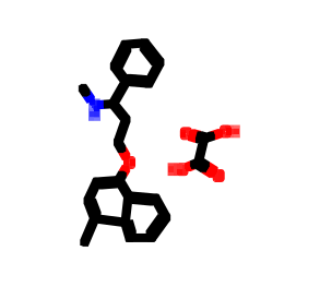 CNC(CCOc1ccc(C)c2ccccc12)c1ccccc1.O=C(O)C(=O)O